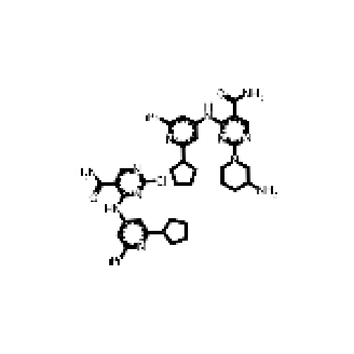 CC(C)c1cc(Nc2nc(Cl)ncc2C(N)=O)cc(C2CCCC2)n1.CC(C)c1cc(Nc2nc(N3CCCC(N)C3)ncc2C(N)=O)cc(C2CCCC2)n1